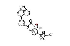 N#Cc1ccc(-c2cccc(N(CC34CCC(c5nc(C6CC6)no5)(CC3)CC4)C(=O)C34CC(F)(C3)C4)c2)c2cccnc12